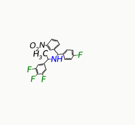 CC(NC(c1ccc(F)cc1)c1cccc([N+](=O)[O-])c1)c1cc(F)c(F)c(F)c1